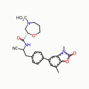 Cc1cc(-c2ccc(CC(C#N)NC(=O)[C@@H]3CN(C(=O)O)CCCO3)cc2)cc2c1oc(=O)n2C